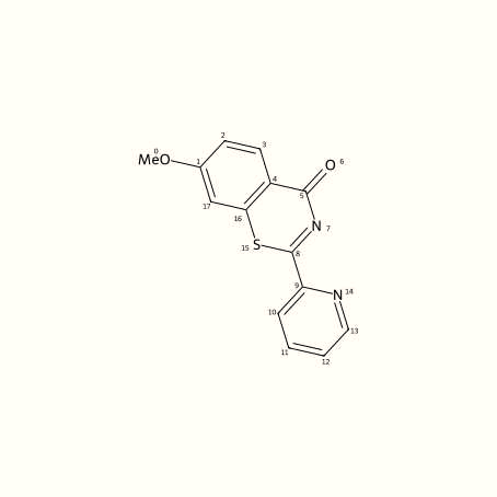 COc1ccc2c(=O)nc(-c3ccccn3)sc2c1